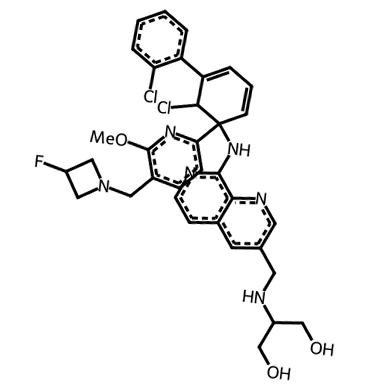 COc1nc(C2(Nc3nccc4cc(CNC(CO)CO)cnc34)C=CC=C(c3ccccc3Cl)C2Cl)ccc1CN1CC(F)C1